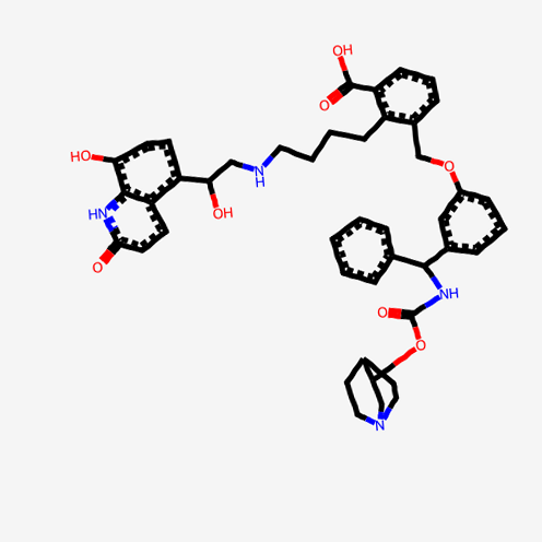 O=C(NC(c1ccccc1)c1cccc(OCc2cccc(C(=O)O)c2CCCCNCC(O)c2ccc(O)c3[nH]c(=O)ccc23)c1)OC1CN2CCC1CC2